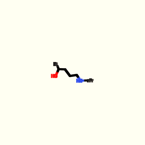 CCCNCCCC(O)CC